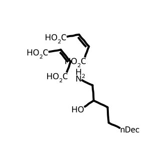 CCCCCCCCCCCCC(O)CN.O=C(O)/C=C\C(=O)O.O=C(O)/C=C\C(=O)O